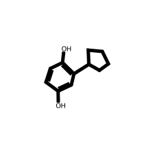 Oc1ccc(O)c(C2CCCC2)c1